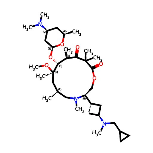 CO[C@]1(C)C[C@@H](C)CN(C)[C@H]([C@H]2C[C@H](N(C)CC3CC3)C2)COC(=O)C(C)(C)C(=O)[C@H](C)[C@H]1O[C@H]1C[C@@H](N(C)C)C[C@@H](C)O1